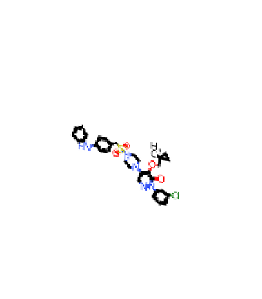 CC1(COc2c(N3CCN(S(=O)(=O)Cc4ccc(Nc5ccccc5)cc4)CC3)cnn(-c3cccc(Cl)c3)c2=O)CC1